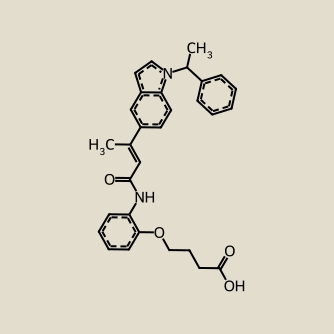 C/C(=C\C(=O)Nc1ccccc1OCCCC(=O)O)c1ccc2c(ccn2C(C)c2ccccc2)c1